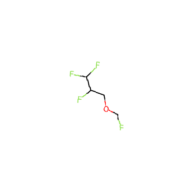 FCOCC(F)C(F)F